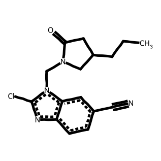 CCCC1CC(=O)N(Cn2c(Cl)nc3ccc(C#N)cc32)C1